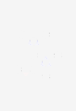 c1ccc(-c2cc(-c3ccccc3)nc(-c3ccc(-c4cccc5c4Sc4ccccc4O5)c(-c4nc(-c5ccccc5)nc(-c5ccccc5)n4)c3)n2)cc1